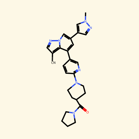 Cn1cc(-c2cc(-c3ccc(N4CCC(C(=O)N5CCCC5)CC4)nc3)c3c(C#N)cnn3c2)cn1